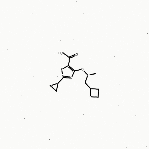 C[C@@H](CC1CCC1)Oc1nc(C2CC2)sc1C(N)=O